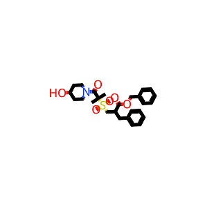 CC(C)(C(=O)N1CCC(O)CC1)S(=O)(=O)CC(Cc1ccccc1)C(=O)OCc1ccccc1